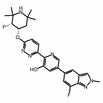 Cn1cc2cc(-c3cnc(-c4ccc(O[C@H]5CC(C)(C)NC(C)(C)[C@H]5F)nn4)c(O)c3)cc(F)c2n1